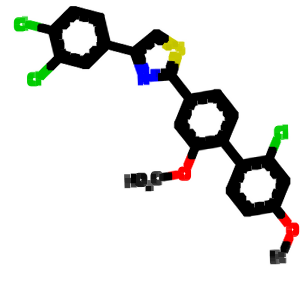 CCOc1ccc(-c2ccc(-c3nc(-c4ccc(Cl)c(Cl)c4)cs3)cc2OC(=O)O)c(Cl)c1